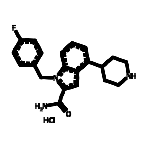 Cl.NC(=O)c1cc2c(C3CCNCC3)cccc2n1Cc1ccc(F)cc1